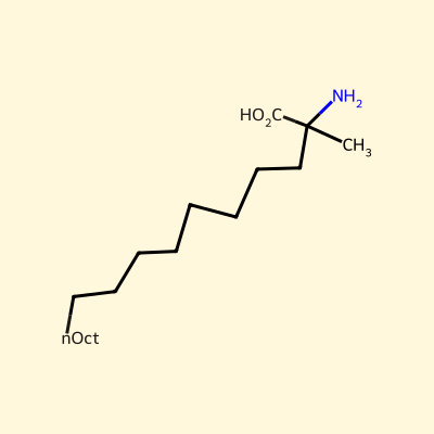 CCCCCCCCCCCCCCCCC(C)(N)C(=O)O